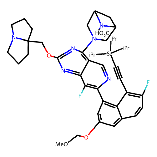 COCOc1cc(-c2ncc3c(N4CC5CC(C4)N5C(=O)O)nc(OCC45CCCN4CCC5)nc3c2F)c2c(C#C[Si](C(C)C)(C(C)C)C(C)C)c(F)ccc2c1